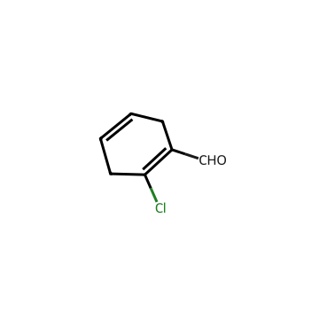 O=CC1=C(Cl)CC=CC1